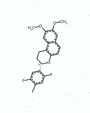 COc1cc2ccc3c(c2cc1OC)CC[C@@H](c1cc(F)c(F)cc1F)O3